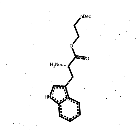 CCCCCCCCCCCCOC(=O)[C@@H](N)Cc1c[nH]c2ccccc12